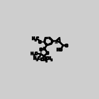 COc1ccc([C@H]2CC2C(=O)O)cc1B1OC(C)(C)C(C)(C)O1